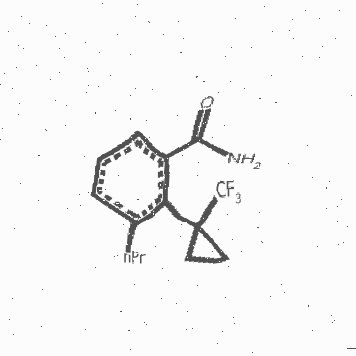 CCCc1cccc(C(N)=O)c1C1(C(F)(F)F)CC1